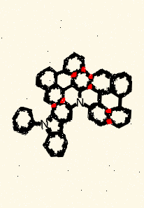 c1ccc(-c2cccc3cccc(-c4ccccc4N(c4ccc5c(c4)c4ccccc4n5-c4ccccc4)c4ccccc4-c4cccc5cccc(-c6ccccc6)c45)c23)cc1